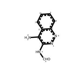 Nc1c(NC=O)nnc2ccccc12